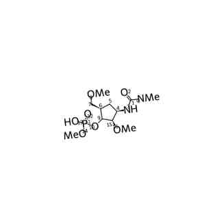 CNC(=O)N[C@@H]1C[C@H](COC)C(OP(=O)(O)OC)[C@@H]1OC